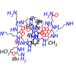 CC[C@H](C)[C@H](N)C(=O)N[C@@H](CC(=O)O)C(=O)N[C@@H](Cc1c[nH]c2ccccc12)C(=O)N[C@@H](CCCCN)C(=O)N[C@@H](CCCCN)C(=O)N[C@@H](CC(C)C)C(=O)N[C@@H](CC(C)C)C(=O)N[C@@H](CC(=O)O)C(=O)N[C@@H](C)C(=O)N[C@@H](C)C(=O)N[C@@H](CCCCN)C(=O)N[C@@H](CCC(N)=O)C(=O)N[C@H](C(=O)N[C@@H](CC(C)C)C(N)=O)[C@@H](C)CC